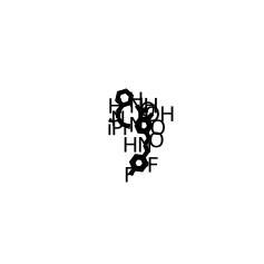 CC(C)CN1CCn2cc(C(=O)NCc3ccc(F)cc3F)c(=O)c(O)c2C(=O)N[C@H]2CCCC[C@H]2C1